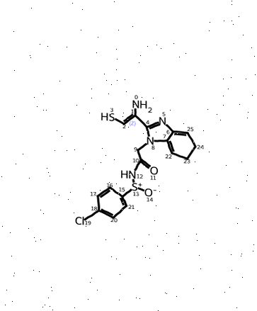 N/C(=C\S)c1nc2c(n1CC(=O)N[S+]([O-])c1ccc(Cl)cc1)=CCCC=2